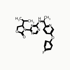 CC(C)C1COC(=O)N1c1ncnc(N[C@@H](C)c2ccc(Oc3ccc(F)cc3)cn2)n1